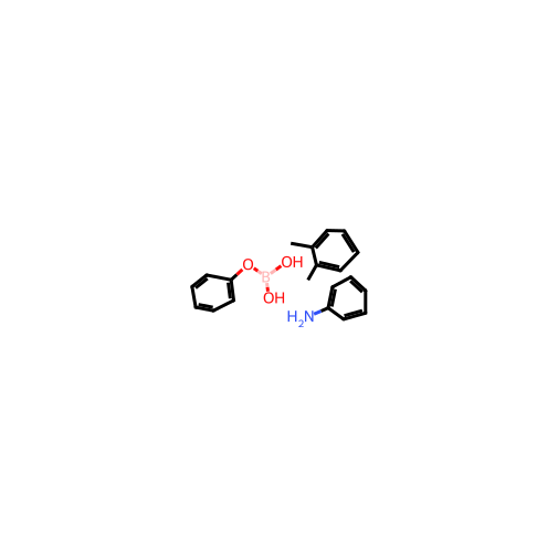 Cc1ccccc1C.Nc1ccccc1.OB(O)Oc1ccccc1